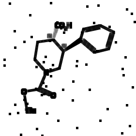 CC(C)(C)OC(=O)N1CC[C@H](C(=O)O)[C@@H](c2ccccc2)C1